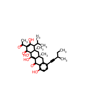 CCC(C)C#Cc1ccc(O)c2c1C[C@]1(C)C[C@]3(C)C(C(C)C)C(O)=C(C(C)=O)C(=O)[C@]3(O)C(O)=C1C2=O